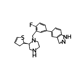 Fc1ccc(-c2ccc3[nH]ncc3c2)cc1CN1CCNC[C@H]1C1CC=CS1